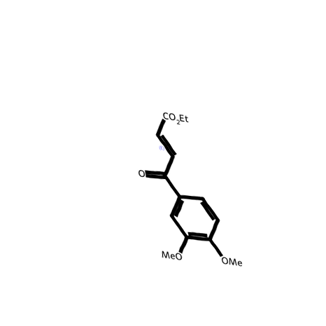 CCOC(=O)/C=C/C(=O)c1ccc(OC)c(OC)c1